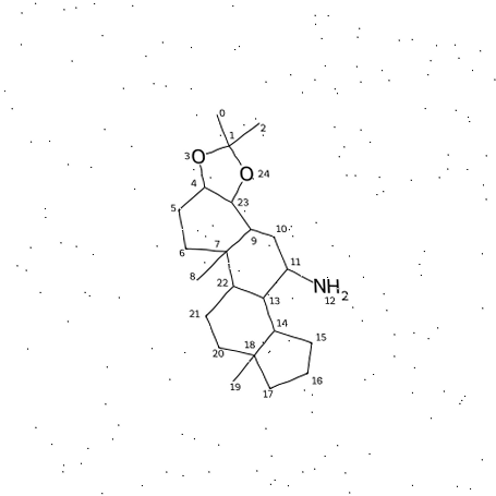 CC1(C)OC2CCC3(C)C(CC(N)C4C5CCCC5(C)CCC43)C2O1